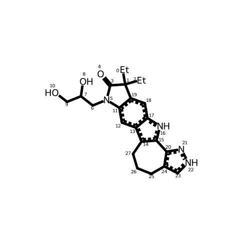 CCC1(CC)C(=O)N(CC(O)CO)c2cc3c4c([nH]c3cc21)-c1n[nH]cc1CCC4